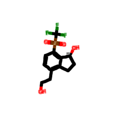 O=S(=O)(c1ccc(CCO)c2c1[C@@H](O)CC2)C(F)(F)F